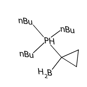 BC1([PH](CCCC)(CCCC)CCCC)CC1